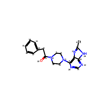 CCc1nc2c(N3CCN(C(=O)Cc4ccccc4)CC3)ncnc2[nH]1